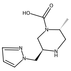 C[C@@H]1CN[C@@H](Cn2cccn2)CN1C(=O)O